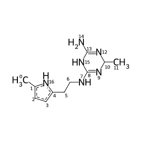 Cc1ccc(CCNC2=NC(C)N=C(N)N2)[nH]1